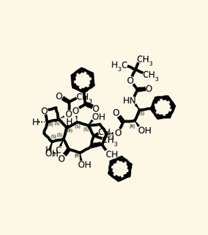 CC(=O)O[C@@]12CO[C@@H]1C[C@H](O)[C@@]1(C)C(=O)[C@H](O)C3=C(C)[C@@H](OC(=O)[C@H](O)[C@@H](NC(=O)OC(C)(C)C)c4ccccc4)C[C@@](O)([C@@H](OC(=O)c4ccccc4)[C@H]21)C3(C)C.c1ccccc1